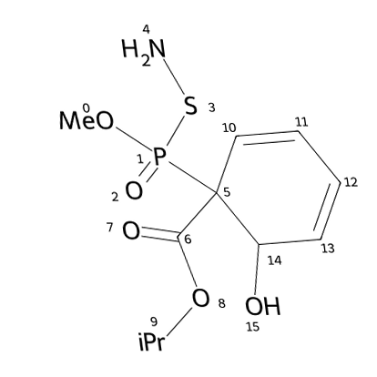 COP(=O)(SN)C1(C(=O)OC(C)C)C=CC=CC1O